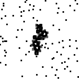 CC(C)(C)OC(=O)N1CCCCC1CNC(=O)c1ccc2cc(Cl)ccc2n1